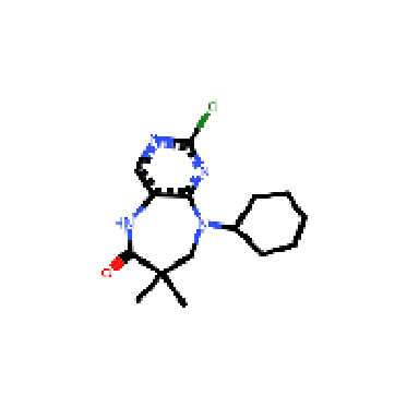 CC1(C)CN(C2CCCCC2)c2nc(Cl)ncc2NC1=O